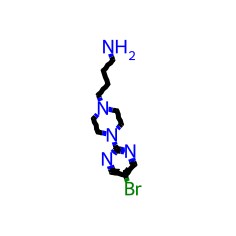 NCCCCN1CCN(c2ncc(Br)cn2)CC1